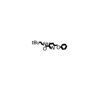 CC(C)(C)CCNC(=O)c1ccc(COc2ccccc2)nc1